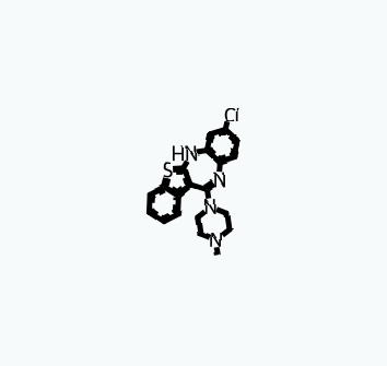 CN1CCN(C2=Nc3ccc(Cl)cc3Nc3sc4ccccc4c32)CC1